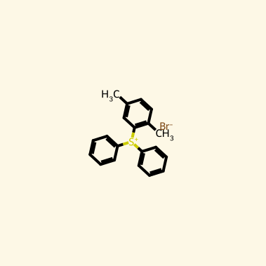 Cc1ccc(C)c([S+](c2ccccc2)c2ccccc2)c1.[Br-]